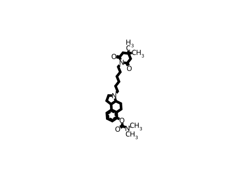 CN(C)C(=O)Oc1cccc2c1CCC1C2CCN1CCCCCCN1C(=O)CC(C)(C)CC1=O